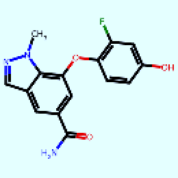 Cn1ncc2cc(C(N)=O)cc(Oc3ccc(O)cc3F)c21